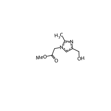 COC(=O)Cn1cc(CO)nc1C